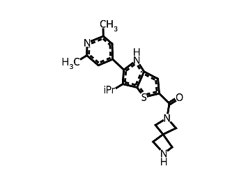 Cc1cc(-c2[nH]c3cc(C(=O)N4CC5(CNC5)C4)sc3c2C(C)C)cc(C)n1